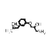 CN(C)Cc1cccc(OCC(O)CN)c1